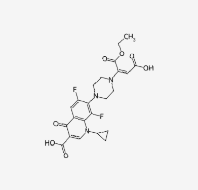 CCOC(=O)C(=CC(=O)O)N1CCN(c2c(F)cc3c(=O)c(C(=O)O)cn(C4CC4)c3c2F)CC1